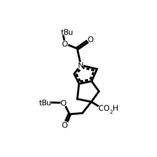 CC(C)(C)OC(=O)CC1(C(=O)O)Cc2cn(C(=O)OC(C)(C)C)cc2C1